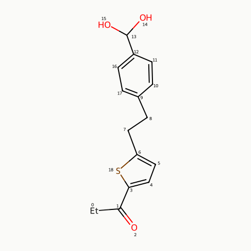 CCC(=O)c1ccc(CCc2ccc(C(O)O)cc2)s1